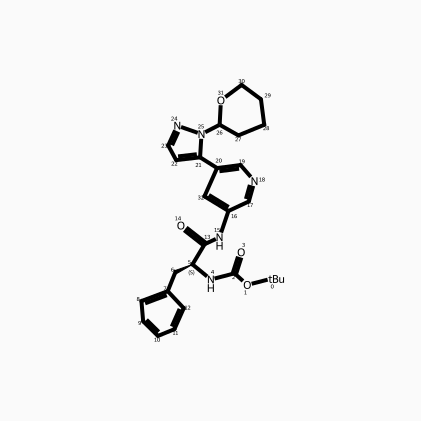 CC(C)(C)OC(=O)N[C@@H](Cc1ccccc1)C(=O)Nc1cncc(-c2ccnn2C2CCCCO2)c1